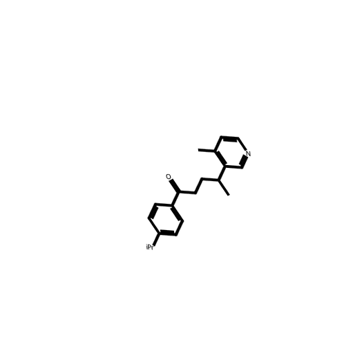 Cc1ccncc1C(C)CCC(=O)c1ccc(C(C)C)cc1